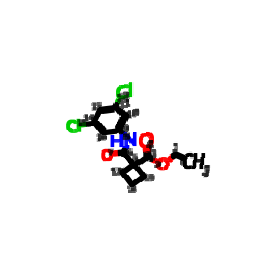 CCOC(=O)C1(C(=O)Nc2cc(Cl)cc(Cl)c2)CCC1